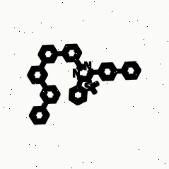 C[Si]1(C)c2ccccc2-c2nc(-c3cccc(-c4cccc(-c5cccc(-c6cccc(-c7ccccc7)c6)c5)c4)c3)nc(-c3ccc(-c4ccccc4)cc3)c21